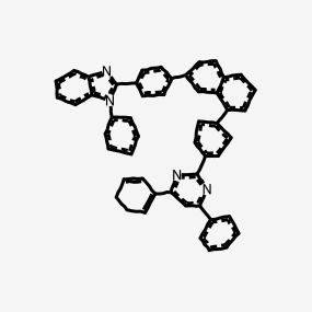 C1=CC(c2cc(-c3ccccc3)nc(-c3ccc(-c4cccc5ccc(-c6ccc(-c7nc8ccccc8n7-c7ccccc7)cc6)cc45)cc3)n2)=CCC1